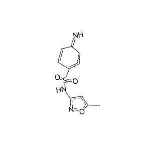 Cc1cc(NS(=O)(=O)C2=C=CC(=N)C=C2)no1